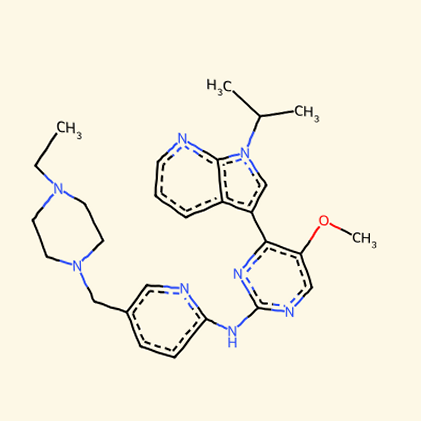 CCN1CCN(Cc2ccc(Nc3ncc(OC)c(-c4cn(C(C)C)c5ncccc45)n3)nc2)CC1